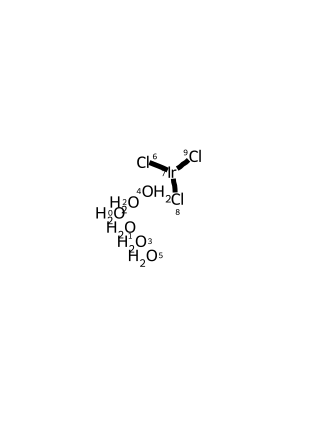 O.O.O.O.O.O.[Cl][Ir]([Cl])[Cl]